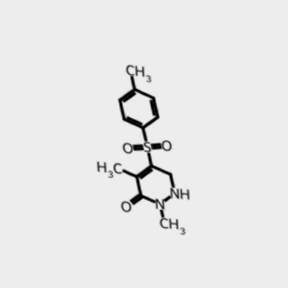 CC1=C(S(=O)(=O)c2ccc(C)cc2)CNN(C)C1=O